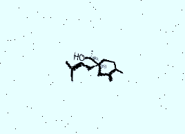 CC(C)=CC[C@@]1([C@@H](C)O)CCC(C)=C(C)C1